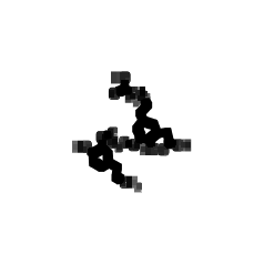 C=CCc1cc(CC(=O)O)c(O)c(OC)c1.C=CCc1ccc(O)c(OC)c1.CC(=O)O